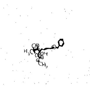 COC(=O)C[C@](O)(C/C=C/COCc1ccccc1)C(=O)C(C)(C)C